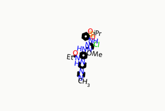 CCC(=O)Nc1cc(Nc2ncc(Cl)c(Nc3ccccc3S(=O)(=O)C(C)C)n2)c(OC)cc1N1CCC(N2CCN(C)CC2)CC1